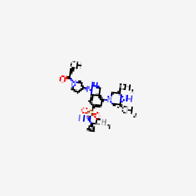 C#CC(=O)N1CCC(n2ncc3c(N4C[C@@H](C)N[C@@H](C)C4)cc(S(=O)(=O)NC4(C)CC4)cc32)C1